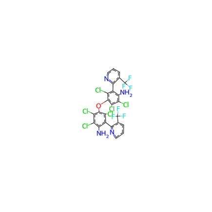 Nc1c(Cl)c(Cl)c(Oc2c(Cl)c(Cl)c(N)c(-c3ncccc3C(F)(F)F)c2Cl)c(Cl)c1-c1ncccc1C(F)(F)F